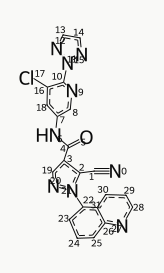 N#Cc1c(C(=O)Nc2cnc(-n3nccn3)c(Cl)c2)cnn1-c1cccc2ncccc12